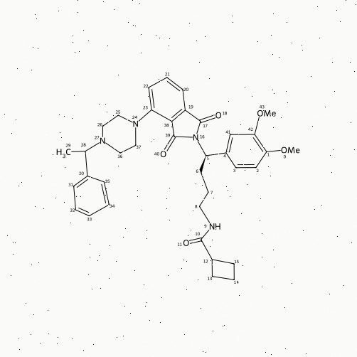 COc1ccc([C@@H](CCCNC(=O)C2CCC2)N2C(=O)c3cccc(N4CCN(C(C)c5ccccc5)CC4)c3C2=O)cc1OC